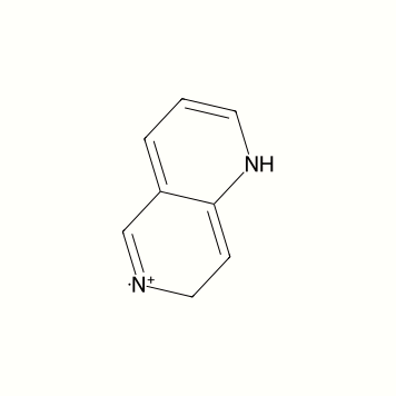 C1=CNC2=CC[N+]=CC2=C1